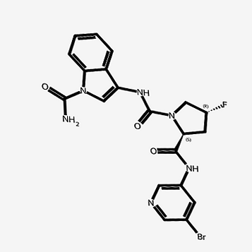 NC(=O)n1cc(NC(=O)N2C[C@H](F)C[C@H]2C(=O)Nc2cncc(Br)c2)c2ccccc21